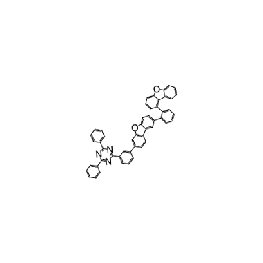 c1ccc(-c2nc(-c3ccccc3)nc(-c3cccc(-c4ccc5c(c4)oc4ccc(-c6ccccc6-c6cccc7oc8ccccc8c67)cc45)c3)n2)cc1